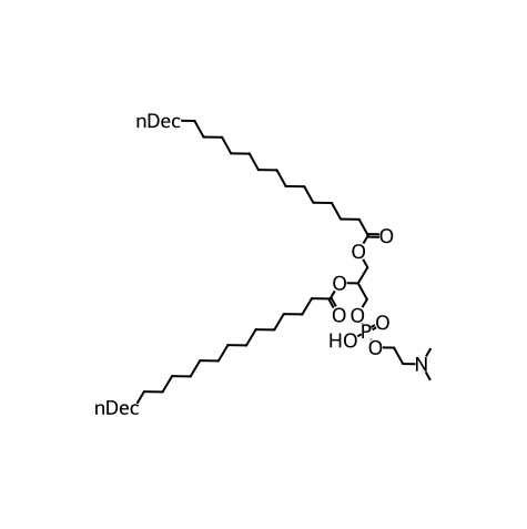 CCCCCCCCCCCCCCCCCCCCCCCC(=O)OCC(COP(=O)(O)OCCN(C)C)OC(=O)CCCCCCCCCCCCCCCCCCCCCCC